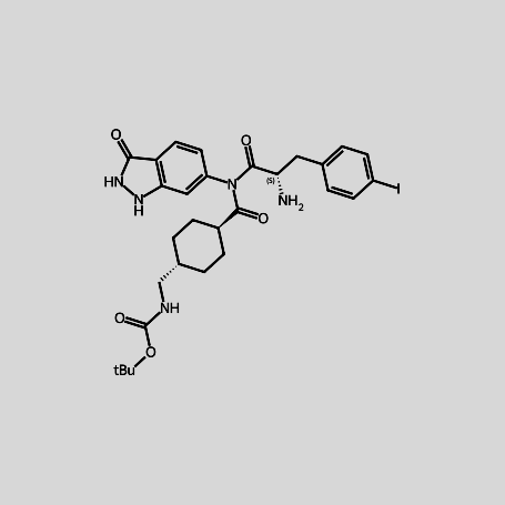 CC(C)(C)OC(=O)NC[C@H]1CC[C@H](C(=O)N(C(=O)[C@@H](N)Cc2ccc(I)cc2)c2ccc3c(=O)[nH][nH]c3c2)CC1